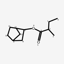 CCC(C)C(=O)OC1CC2CCC1C2